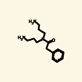 NCCCN(CCCN)C(=O)Cc1ccccc1